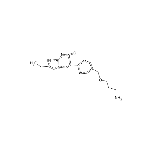 CCc1cn2cc(-c3ccc(COCCCN)cc3)c(=O)nc2[nH]1